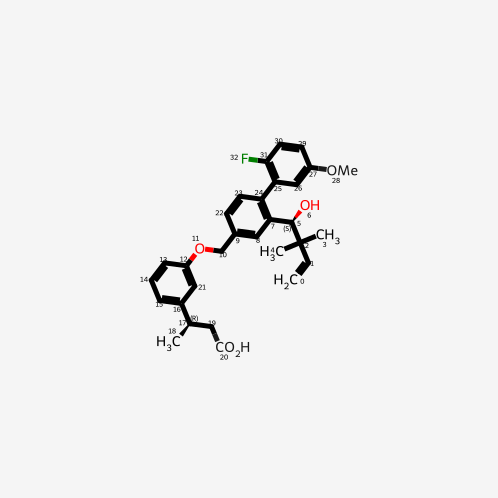 C=CC(C)(C)[C@H](O)c1cc(COc2cccc([C@H](C)CC(=O)O)c2)ccc1-c1cc(OC)ccc1F